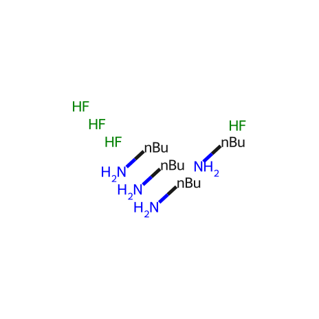 CCCCN.CCCCN.CCCCN.CCCCN.F.F.F.F